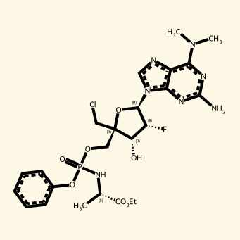 CCOC(=O)[C@H](C)NP(=O)(OC[C@@]1(CCl)O[C@@H](n2cnc3c(N(C)C)nc(N)nc32)[C@H](F)[C@@H]1O)Oc1ccccc1